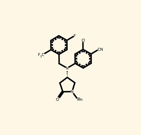 CCC(C)N1C[C@@H](N(Cc2cc(F)ccc2C(F)(F)F)c2ccc(C#N)c(Cl)c2)CC1=O